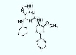 COc1cc(-c2cc[c]cc2)ccc1Nc1nc(NC2CCCCC2)c2nc[nH]c2n1